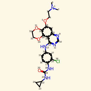 CN(C)CCOc1cc2ncnc(Nc3ccc(NC(=O)NC4CC4)c(Cl)c3)c2c2c1OCCO2